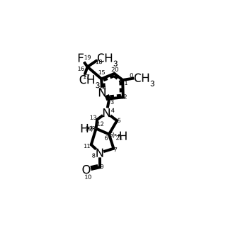 Cc1cc(N2C[C@H]3CN(C=O)C[C@H]3C2)nc(C(C)(C)F)c1